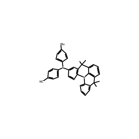 CC(C)(C)c1ccc(N(c2ccc(C#N)cc2)c2ccc3c(c2)C(C)(C)c2cccc4c2N3c2ccccc2C4(C)C)cc1